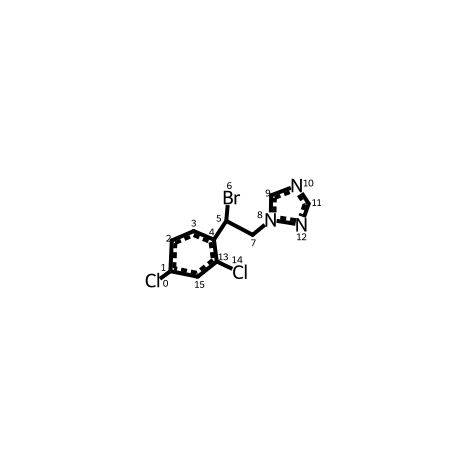 Clc1ccc(C(Br)Cn2cncn2)c(Cl)c1